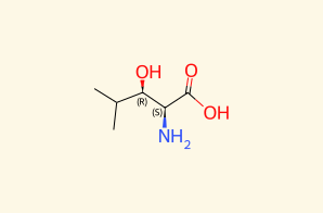 CC(C)[C@@H](O)[C@H](N)C(=O)O